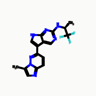 Cc1cnc2ccc(-c3c[nH]c4nc(N[C@@H](C)C(F)(F)F)ncc34)nn12